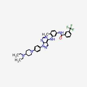 CCN(CC)C1CCN(c2ccc(-n3ncc4c(Nc5cc(NC(=O)c6cccc(C(F)(F)F)c6)ccc5C)ncnc43)cc2)CC1